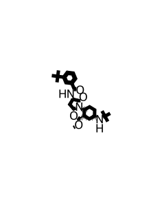 COC(=O)[C@@H]1C[C@H](NC(C)(C)C)CC[C@@H]1N1CCC(NC(=O)c2cccc(C(C)(C)C)c2)C1=O